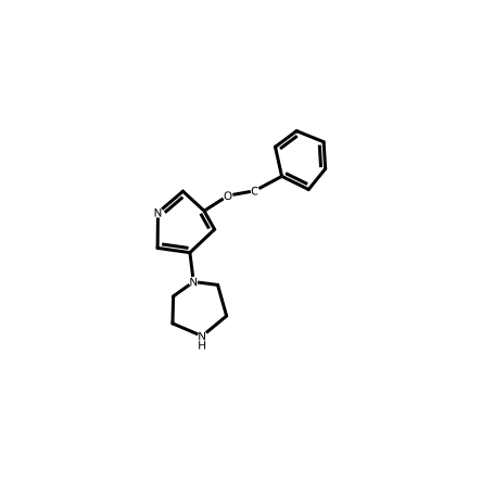 c1ccc(COc2cncc(N3CCNCC3)c2)cc1